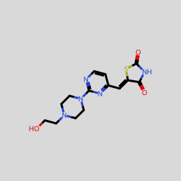 O=C1NC(=O)/C(=C/c2ccnc(N3CCN(CCO)CC3)n2)S1